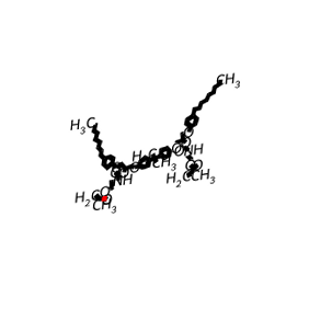 C=C(C)C(=O)OCCNC(=O)OC(COc1ccc(CCCCCCCCC)cc1)COc1ccc(C(C)(C)c2ccc(OCC(COc3ccc(CCCCCCCCC)cc3)OC(=O)NCCOC(=O)C(=C)C)cc2)cc1